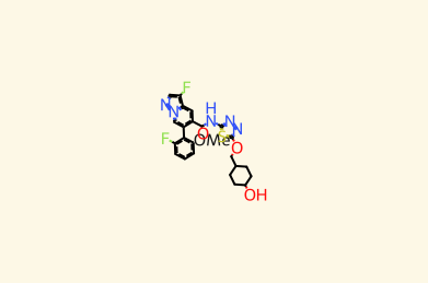 COc1cccc(F)c1-c1cn2ncc(F)c2cc1C(=O)Nc1nnc(OCC2CCC(O)CC2)s1